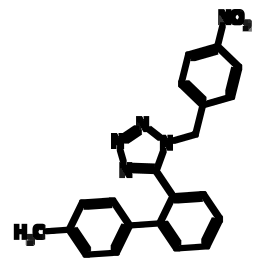 Cc1ccc(-c2ccccc2-c2nnnn2Cc2ccc([N+](=O)[O-])cc2)cc1